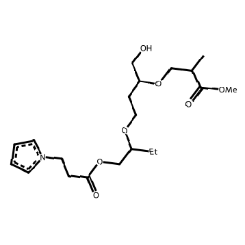 CCC(COC(=O)CCn1cccc1)OCCC(CO)OCC(C)C(=O)OC